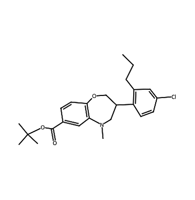 CCCc1cc(Cl)ccc1C1COc2ccc(C(=O)OC(C)(C)C)cc2N(C)C1